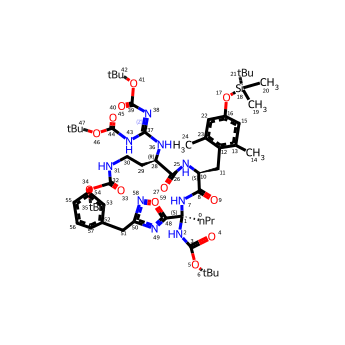 CCC[C@@](NC(=O)OC(C)(C)C)(NC(=O)[C@H](Cc1c(C)cc(O[Si](C)(C)C(C)(C)C)cc1C)NC(=O)[C@@H](CCNC(=O)OC(C)(C)C)N/C(=N/C(=O)OC(C)(C)C)NC(=O)OC(C)(C)C)c1nc(Cc2ccccc2)no1